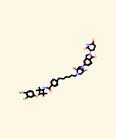 CC1(C)C(NC(=O)c2ccc(CCCCCCN3C[C@@H]4C[C@H]3CN4c3ccc4c(c3)CN([C@H]3CCC(=O)NC3=O)C4=O)cc2)C(C)(C)C1Oc1ccc(C#N)c(Cl)c1